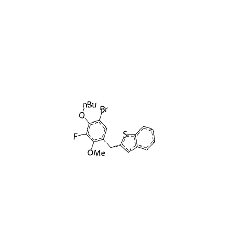 CCCCOc1c(Br)cc(Cc2cc3ccccc3s2)c(OC)c1F